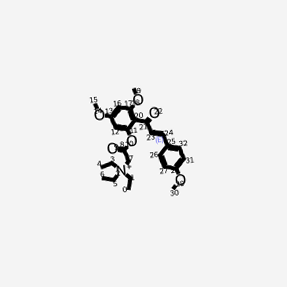 CC[N+](CC)(CC)CC(=O)Oc1cc(OC)cc(OC)c1C(=O)/C=C/c1ccc(OC)cc1